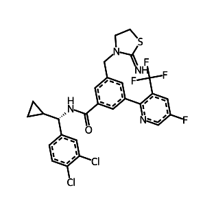 N=C1SCCN1Cc1cc(C(=O)N[C@H](c2ccc(Cl)c(Cl)c2)C2CC2)cc(-c2ncc(F)cc2C(F)(F)F)c1